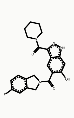 O=C(c1cc2c(C(=O)N3CCCCC3)n[nH]c2cc1O)N1Cc2ccc(F)cc2C1